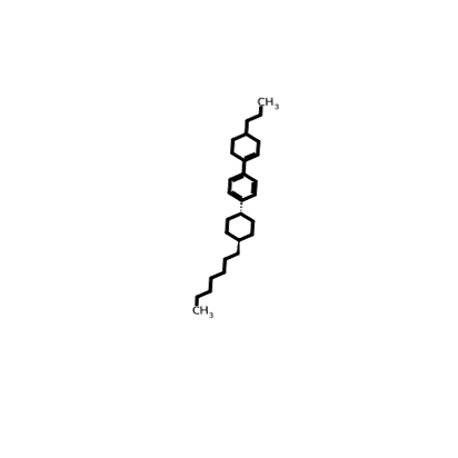 CCCCCCC[C@H]1CC[C@H](c2ccc(C3=CCC(CCC)CC3)cc2)CC1